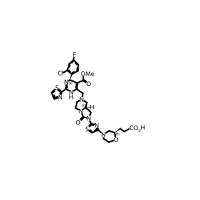 COC(=O)C1=C(CN2CCN3C(=O)N(c4nc(N5CCO[C@H](CCC(=O)O)C5)cs4)C[C@@H]3C2)NC(c2nccs2)=N[C@H]1c1ccc(F)cc1Cl